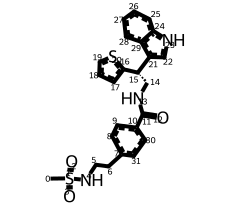 CS(=O)(=O)NCCc1ccc(C(=O)NC[C@H](c2cccs2)c2c[nH]c3ccccc23)cc1